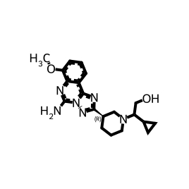 COc1cccc2c1nc(N)n1nc([C@@H]3CCCN(C(CO)C4CC4)C3)nc21